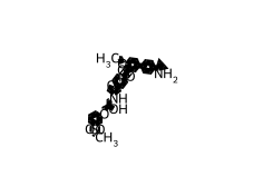 CCOc1ccc(-c2ccc(C3(N)CC3)cc2)cc1S(=O)(=O)N1CCC2(CC1)CC(NCC(O)COc1cccc(S(=O)(=O)CC)c1)CO2